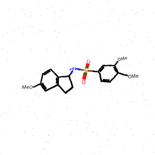 COc1ccc2c(c1)CCC2NS(=O)(=O)c1ccc(OC)c(OC)c1